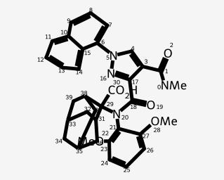 CNC(=O)c1cn(-c2cccc3ccccc23)nc1C(=O)N(c1c(OC)cccc1OC)C1(C(=O)O)C2CC3CC(C2)CC1C3